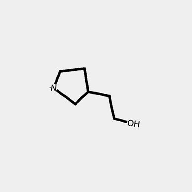 OCCC1CC[N]C1